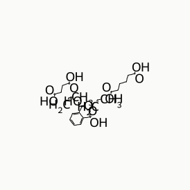 C=CC.C=CC.O=C(O)CCC(=O)O.O=C(O)CCCCC(=O)O.O=C(O)c1ccccc1C(=O)O